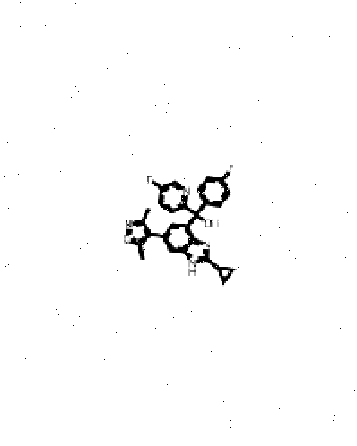 Cc1noc(C)c1-c1cc(C(O)(c2ccc(F)cc2)c2ccc(F)cn2)c2nc(C3CC3)[nH]c2c1